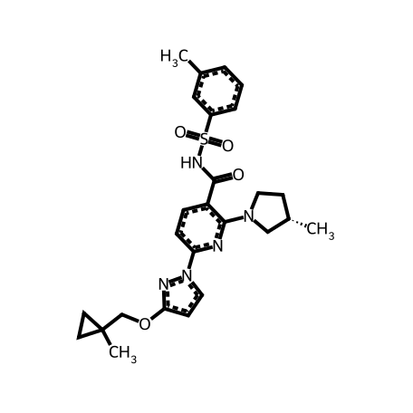 Cc1cccc(S(=O)(=O)NC(=O)c2ccc(-n3ccc(OCC4(C)CC4)n3)nc2N2CC[C@H](C)C2)c1